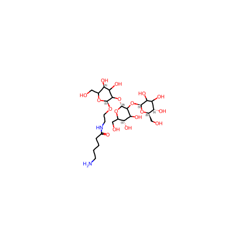 NCCCCC(=O)NCCO[C@H]1OC(CO)[C@@H](O)C(O)C1O[C@H]1OC(CO)[C@@H](O)C(O)C1O[C@@H]1O[C@H](CO)[C@@H](O)C(O)C1O